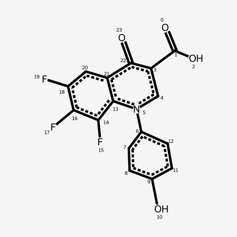 O=C(O)c1cn(-c2ccc(O)cc2)c2c(F)c(F)c(F)cc2c1=O